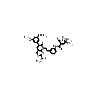 CNc1ncc2cc(-c3cc(OC)cc(OC)c3)c(=O)n(CCc3cccc(NC(=O)/C(C#N)=C/C(C)(C)N)c3)c2n1